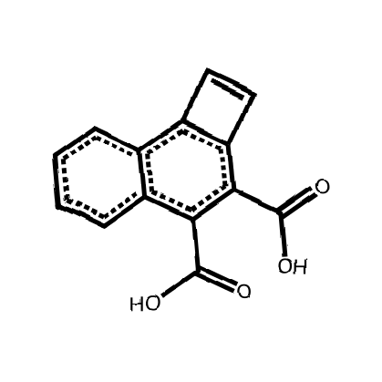 O=C(O)c1c2c(c3ccccc3c1C(=O)O)C=C2